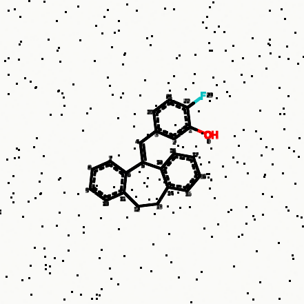 Oc1cc(C=C2c3ccccc3CCc3ccccc32)ccc1F